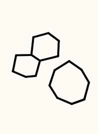 C1CCC2CCCCC2C1.C1CCCCCCC1